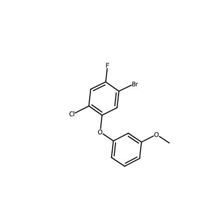 COc1cccc(Oc2cc(Br)c(F)cc2Cl)c1